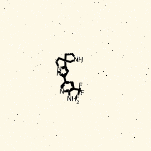 Nc1ncc(-c2cc3n(n2)CCC32CCNC2)cc1C(F)(F)F